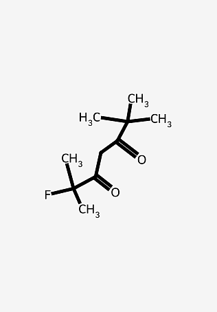 CC(C)(C)C(=O)CC(=O)C(C)(C)F